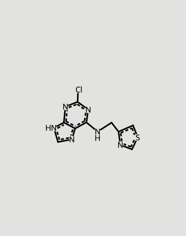 Clc1nc(NCc2cscn2)c2nc[nH]c2n1